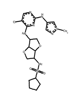 Cn1cc(Nc2ncc(Cl)c(NC3COC4C(NS(=O)(=O)C5CCCC5)COC34)n2)cn1